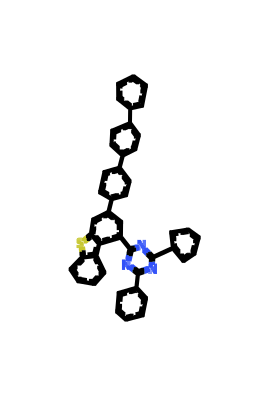 c1ccc(-c2ccc(-c3ccc(-c4cc(-c5nc(-c6ccccc6)nc(-c6ccccc6)n5)c5c(c4)sc4ccccc45)cc3)cc2)cc1